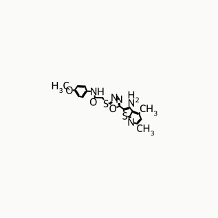 COc1ccc(NC(=O)CSc2nnc(-c3sc4nc(C)cc(C)c4c3N)o2)cc1